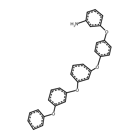 Nc1cccc(Oc2ccc(Oc3cccc(Oc4cccc(Oc5ccccc5)c4)c3)cc2)c1